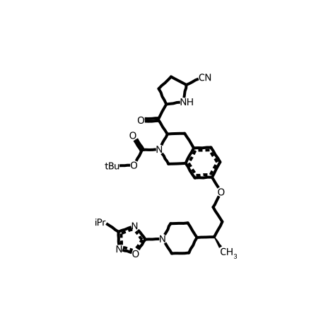 CC(C)c1noc(N2CCC([C@H](C)CCOc3ccc4c(c3)CN(C(=O)OC(C)(C)C)C(C(=O)C3CCC(C#N)N3)C4)CC2)n1